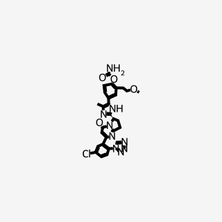 COCCc1cc(-c2[nH]c([C@@H]3CCc4nc(-c5cc(Cl)ccc5-n5cnnn5)cc(=O)n43)nc2C)ccc1OC(N)=O